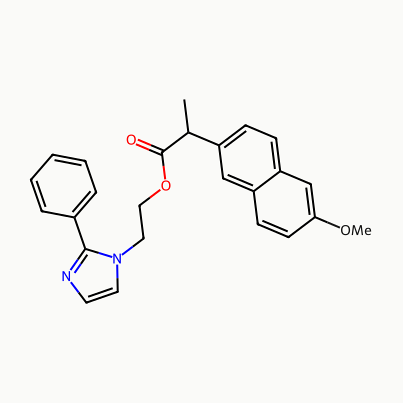 COc1ccc2cc(C(C)C(=O)OCCn3ccnc3-c3ccccc3)ccc2c1